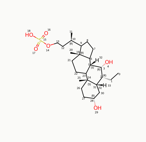 CC[C@H]1[C@@H](O)[C@H]2C3CCC([C@H](C)CCOS(=O)(=O)O)[C@@]3(C)CCC2[C@@]2(C)CC[C@@H](O)C[C@@H]12